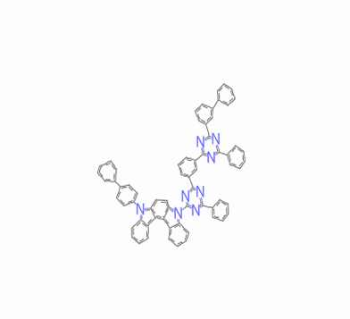 c1ccc(-c2ccc(-n3c4ccccc4c4c5c6ccccc6n(-c6nc(-c7ccccc7)nc(-c7cccc(-c8nc(-c9ccccc9)nc(-c9cccc(-c%10ccccc%10)c9)n8)c7)n6)c5ccc43)cc2)cc1